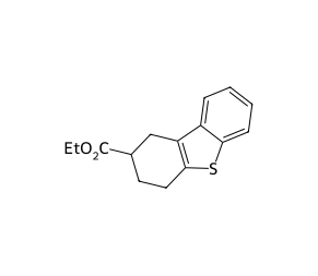 CCOC(=O)C1CCc2sc3ccccc3c2C1